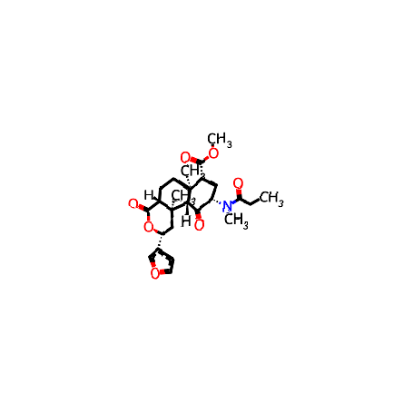 CCC(=O)N(C)[C@H]1C[C@@H](C(=O)OC)[C@]2(C)CC[C@H]3C(=O)O[C@@H](c4ccoc4)C[C@]3(C)[C@H]2C1=O